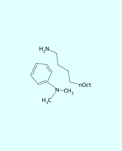 CCCCCCCCCCCCN.CN(C)c1ccccc1